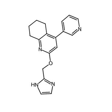 c1cncc(-c2cc(OCc3ncc[nH]3)nc3c2CCCC3)c1